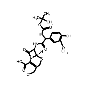 COc1cc(C(NC(=O)OC(C)(C)C)C(=O)N[C@@H]2C(=O)N3C(C(=O)O)=C(CCl)CS[C@H]23)ccc1O